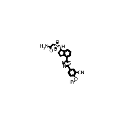 CC(C)Oc1ccc(-c2nnc(-c3cccc4c3CCC4NS(=O)(=O)CC(N)=O)s2)cc1C#N